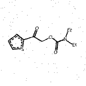 CCN(CC)C(=O)OCC(=O)c1cccs1